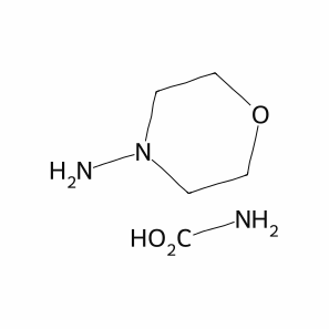 NC(=O)O.NN1CCOCC1